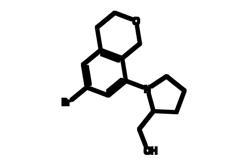 OCC1CCCN1c1cc(Br)cc2c1COCC2